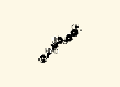 Cc1cccc(-c2ccc(Oc3ccnc(-c4cc(C(=O)NCCCN5CCOCC5)c[nH]4)c3)cc2)c1